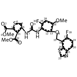 COC(=O)c1scc(NC(=O)Nc2cc(OCc3c(F)ccc4ncsc34)c(OC)cc2F)c1C(=O)OC